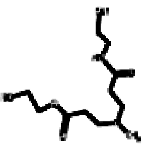 CN(CCC(=O)NCCO)CCC(=O)OCCO